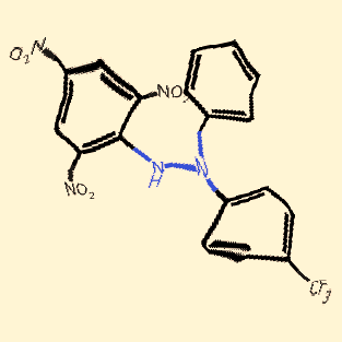 O=[N+]([O-])c1cc([N+](=O)[O-])c(NN(c2ccccc2)c2ccc(C(F)(F)F)cc2)c([N+](=O)[O-])c1